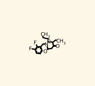 CCCN1C(CC)C(=O)CC(=O)N1Cc1cccc(F)c1F